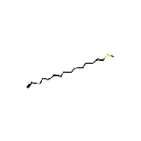 C=CCCCCCCCCCCCC[CH]SC